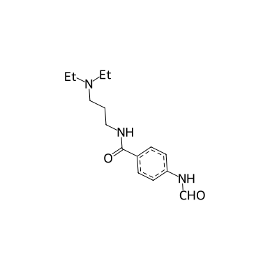 CCN(CC)CCCNC(=O)c1ccc(NC=O)cc1